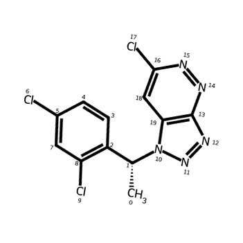 C[C@H](c1ccc(Cl)cc1Cl)n1nnc2nnc(Cl)cc21